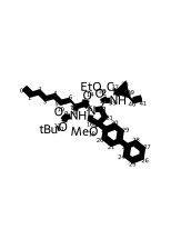 C=CCCCCC[C@H](NC(=O)OC(C)(C)C)C(=O)N1C[C@](OC)(c2ccc(-c3ccccc3)cc2)C[C@H]1C(=O)N[C@]1(C(=O)OCC)C[C@H]1C=C